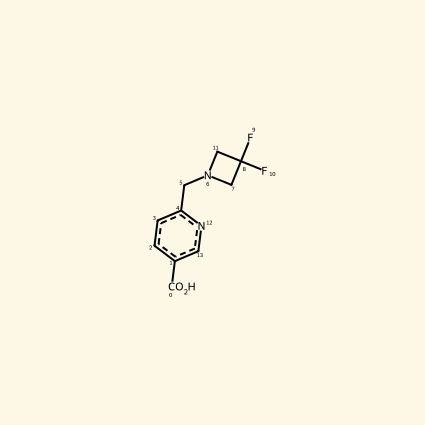 O=C(O)c1ccc(CN2CC(F)(F)C2)nc1